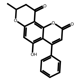 CC1CC(=O)c2c(cc(O)c3c(-c4ccccc4)cc(=O)oc23)O1